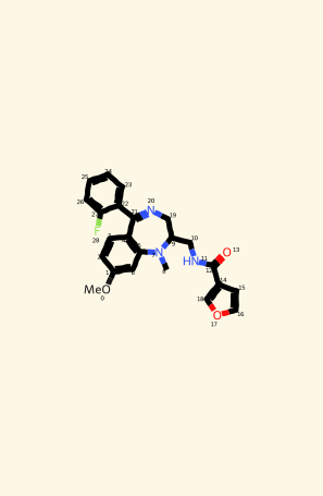 COc1ccc2c(c1)N(C)C(CNC(=O)c1ccoc1)CN=C2c1ccccc1F